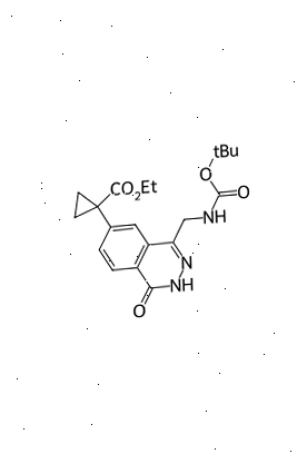 CCOC(=O)C1(c2ccc3c(=O)[nH]nc(CNC(=O)OC(C)(C)C)c3c2)CC1